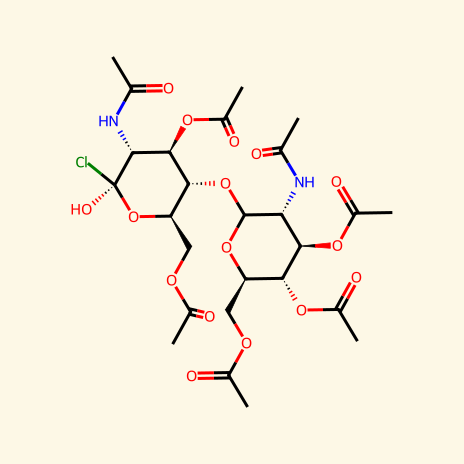 CC(=O)N[C@@H]1[C@@H](OC(C)=O)[C@H](OC2O[C@H](COC(C)=O)[C@@H](OC(C)=O)[C@H](OC(C)=O)[C@H]2NC(C)=O)[C@@H](COC(C)=O)O[C@@]1(O)Cl